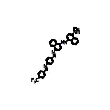 CCC(C)Nc1ccc(/N=N/c2ccc(/N=N/c3ccc(/N=N/c4ccc(C(F)(F)F)cc4)cc3)c3ccccc23)c2ccccc12